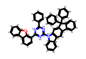 c1ccc(-c2nc(-c3cccc4c3oc3ccccc34)nc(-n3c4ccccc4c4cc5c(cc43)C(c3ccccc3)(c3ccccc3)c3ccccc3-5)n2)cc1